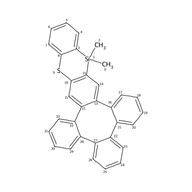 C[Si]1(C)c2ccccc2Sc2cc3c(cc21)-c1ccccc1-c1ccccc1-c1ccccc1-3